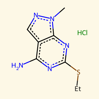 CCSc1nc(N)c2cnn(C)c2n1.Cl